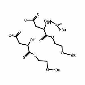 CCCCOCCOC(=S)C(O)CC([O-])=S.CCCCOCCOC(=S)C(O)CC([O-])=S.CCC[CH2][Sn+2][CH2]CCC